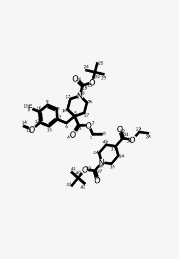 CCOC(=O)C1(Cc2ccc(F)c(OC)c2)CCN(C(=O)OC(C)(C)C)CC1.CCOC(=O)C1CCN(C(=O)OC(C)(C)C)CC1